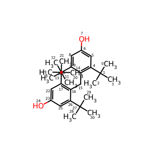 CC(C)(C)c1cc(O)cc(C(C)(C)C)c1Cc1c(C(C)(C)C)cc(O)cc1C(C)(C)C